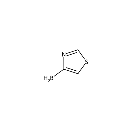 Bc1cscn1